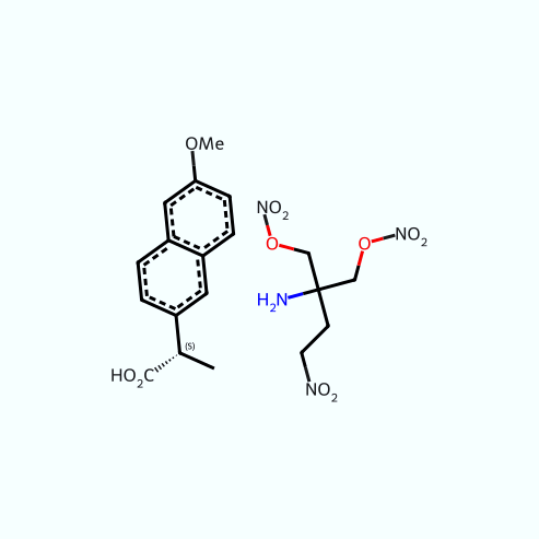 COc1ccc2cc([C@H](C)C(=O)O)ccc2c1.NC(CC[N+](=O)[O-])(CO[N+](=O)[O-])CO[N+](=O)[O-]